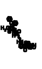 Cn1cc(-c2ccccc2Oc2ccccc2)c2cc(C(=O)NCCCCNc3cccc4c3C(=O)N(C3CCC(=O)NC3=O)C4=O)[nH]c2c1=O